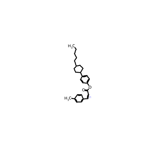 CCCCCC1CCC(c2ccc(OC(=O)/C=C\c3ccc(C)cc3)cc2)CC1